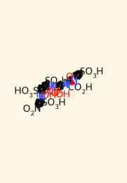 O=C(O)C1=NN(c2ccc(S(=O)(=O)O)cc2)C(=O)C1/N=N/c1ccc(/N=N/c2c(S(=O)(=O)O)cc3cc(S(=O)(=O)O)c(/N=N/c4ccc([N+](=O)[O-])cc4S(=O)(=O)O)c(O)c3c2O)c(S(=O)O)c1